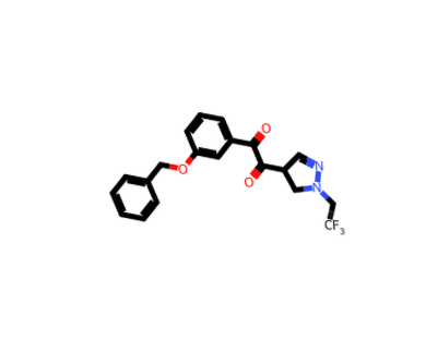 O=C(C(=O)C1C=NN(CC(F)(F)F)C1)c1cccc(OCc2ccccc2)c1